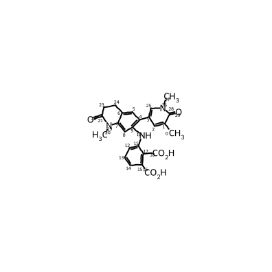 Cc1cc(-c2cc3c(cc2Nc2cccc(C(=O)O)c2C(=O)O)N(C)C(=O)CC3)cn(C)c1=O